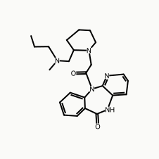 CCCN(C)CC1CCCCN1CC(=O)N1c2ccccc2C(=O)Nc2cccnc21